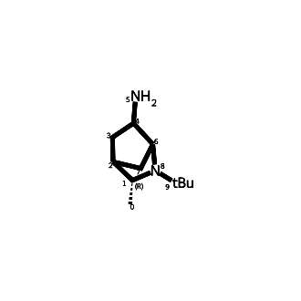 C[C@@H]1C2CC(N)C(C2)N1C(C)(C)C